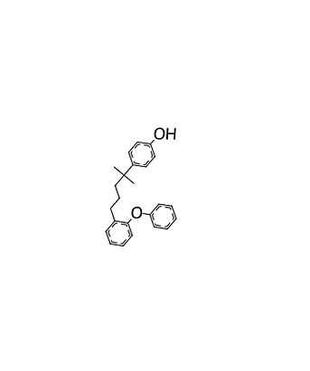 CC(C)(CCCc1ccccc1Oc1ccccc1)c1ccc(O)cc1